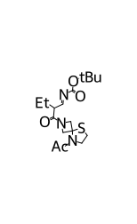 CCC(/C=N/C(=O)OC(C)(C)C)C(=O)N1CC2(C1)SCCN2C(C)=O